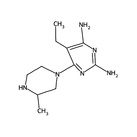 CCc1c(N)nc(N)nc1N1CCNC(C)C1